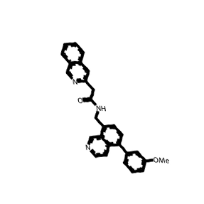 COc1cccc(-c2ccc(CNC(=O)Cc3cc4ccccc4cn3)c3cnccc23)c1